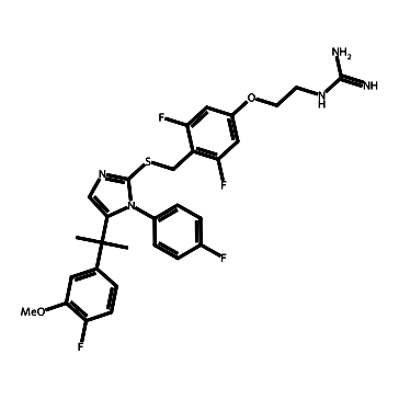 COc1cc(C(C)(C)c2cnc(SCc3c(F)cc(OCCNC(=N)N)cc3F)n2-c2ccc(F)cc2)ccc1F